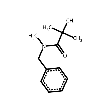 CN(Cc1ccccc1)C(=O)C(C)(C)C